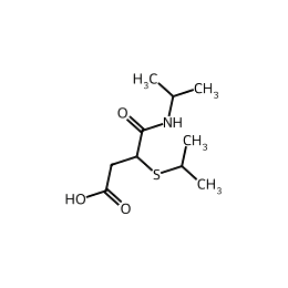 CC(C)NC(=O)C(CC(=O)O)SC(C)C